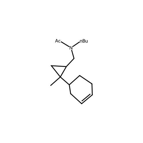 CCCCN(CC1CC1(C)C1CC=CCC1)C(C)=O